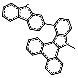 Cn1c2cccc(-c3ccc4c(c3)oc3ccccc34)c2c2c3ccccc3c3ccccc3c21